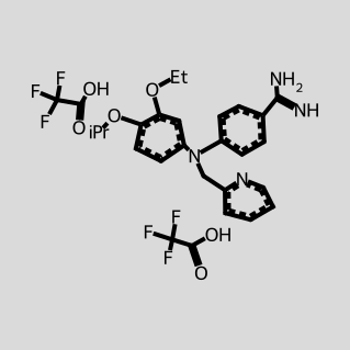 CCOc1cc(N(Cc2ccccn2)c2ccc(C(=N)N)cc2)ccc1OC(C)C.O=C(O)C(F)(F)F.O=C(O)C(F)(F)F